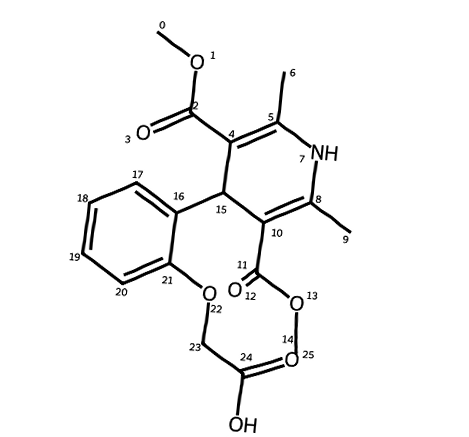 COC(=O)C1=C(C)NC(C)=C(C(=O)OC)C1c1ccccc1OCC(=O)O